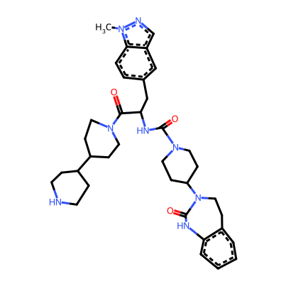 Cn1ncc2cc(CC(NC(=O)N3CCC(N4CCc5ccccc5NC4=O)CC3)C(=O)N3CCC(C4CCNCC4)CC3)ccc21